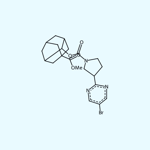 COC(=O)C12CC3CC(C1)C(OC(=O)N1CCC(c4ncc(Br)cn4)C1)C(C3)C2